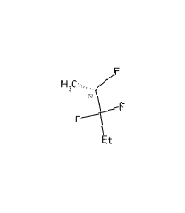 [CH2]CC(F)(F)[C@H](C)F